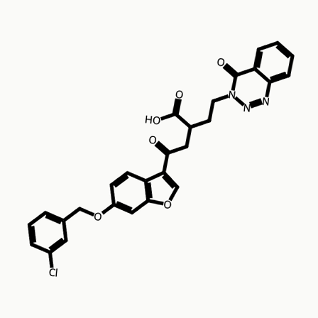 O=C(CC(CCn1nnc2ccccc2c1=O)C(=O)O)c1coc2cc(OCc3cccc(Cl)c3)ccc12